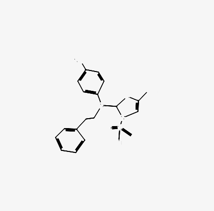 CC1=CN(S(C)(=O)=O)C(N(CCc2ccccc2)c2ccc(C#N)cc2)S1